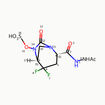 CC(=O)NNC(=O)[C@@H]1CC(F)(F)[C@@H]2CN1C(=O)N2OS(=O)(=O)O